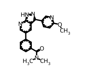 COc1ccc(-c2n[nH]c3ncc(-c4cccc(C(=O)N(C)C)c4)cc23)cn1